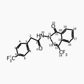 O=C(Cc1ccc(C(F)(F)F)cc1)Nn1nc(C(F)(F)F)c2ccccc2c1=O